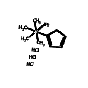 C[CH](C)[Ti]([CH3])([CH3])([CH3])([CH3])[C]1=CC=CC1.Cl.Cl.Cl